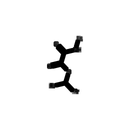 CCNC(=O)C(=O)OC(C(C)C)C(C)C